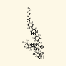 CCCCCCOc1ccc(-c2cnc(-c3ccc(CC(NC(=O)c4ccc(C(C)(C)C)s4)C(=O)NCC4(C(=O)O)CCC4)cc3)nc2)cc1